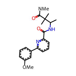 CNC(=O)C(C)(C)C(C)NC(=O)c1cccc(-c2cccc(OC)c2)n1